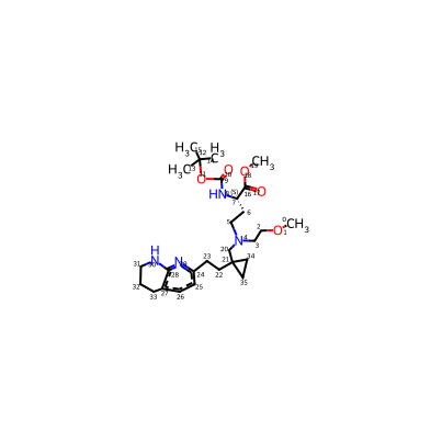 COCCN(CC[C@H](NC(=O)OC(C)(C)C)C(=O)OC)CC1(CCc2ccc3c(n2)NCCC3)CC1